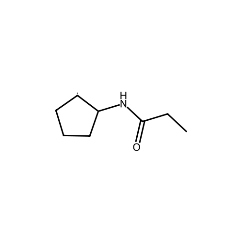 CCC(=O)NC1[CH]CCC1